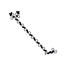 COC(=O)/C=C/CN(C)CCOCCOCCOCCOCCOCCOCCOCCOCCN(C(=O)OC(C)(C)C)C(=O)OC(C)(C)C